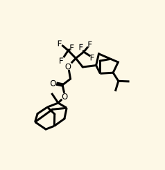 CC(C)C1CC2CC(CC(OCC(=O)OC3(C)C4CC5CC(C4)CC3C5)(C(F)(F)F)C(F)(F)F)C1C2